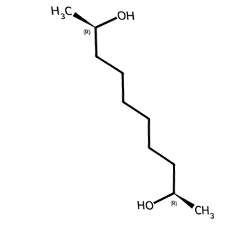 C[C@@H](O)CCCCCC[C@@H](C)O